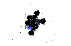 N=C(/C(=C1\NC(c2ccccc2)=Cc2ccc(-c3nc(-c4ccccc4)cc(-c4cc(-c5ccccc5)cc(-c5ccccc5)c4)n3)cc21)c1ccccc1)c1ccccc1